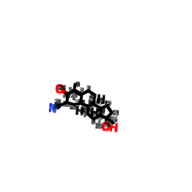 CC1=C2CC[C@@H]3[C@@H](CC[C@@]4(C)[C@H]3CCC4(C)O)[C@@]2(C)CC(C#N)C1=O